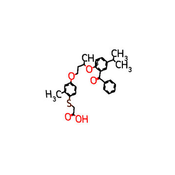 Cc1cc(OCCC(C)Oc2ccc(C(C)C)cc2C(=O)c2ccccc2)ccc1SCC(=O)O